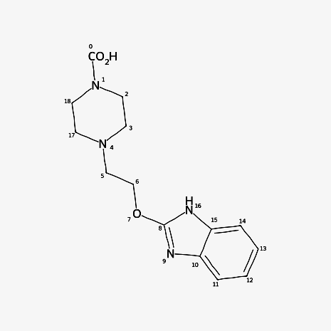 O=C(O)N1CCN(CCOc2nc3ccccc3[nH]2)CC1